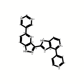 c1cc(-c2nccc3[nH]c(-c4n[nH]c5ccc(-c6cncnc6)nc45)nc23)ccn1